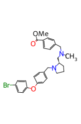 COC(=O)c1ccc(CN(C)C[C@H]2CCCN2Cc2ccc(Oc3ccc(Br)cc3)cc2)cc1